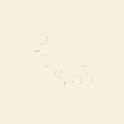 O=C(c1cc2cccc(C(F)(F)F)c2s1)N1CC(N2CCN(C(=O)c3nccs3)CC2)C1